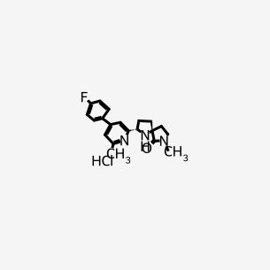 Cc1cc(-c2ccc(F)cc2)cc([C@@H]2CC[C@]3(CCN(C)C3=O)N2)n1.Cl